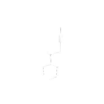 [CH2]C#CCC(=C=O)N1CCCCC1